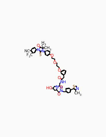 Cc1ncsc1-c1ccc(CNC(=O)C2C[C@H](O)CN2C(=O)CNC(=O)Cc2cccc(OCCCOCCOc3ccc(N4C(=S)N(c5ccc(C#N)c(C(F)(F)F)c5)C(=O)C4(C)C)cc3)c2)cc1